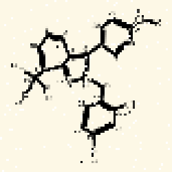 COc1ccc(-c2c3cccc(C(F)(F)F)c3nn2Cc2ccc(F)cc2Cl)cc1